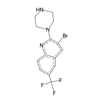 FC(F)(F)c1ccc2nc(N3CCNCC3)c(Br)cc2c1